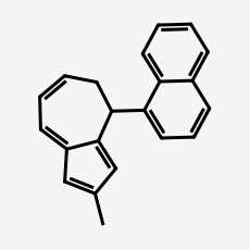 CC1=CC2=CC=CCC(c3cccc4ccccc34)C2=C1